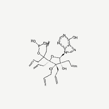 C=CCO[C@@]1(CC=C)[C@](O)(CC=C)[C@H](n2cnc3c(O)ncnc32)O[C@]1(CC=C)C(CC=C)(CC=C)OP(O)O